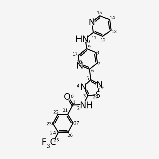 O=C(Nc1nc(-c2ccc(Nc3ccccn3)cn2)ns1)c1ccc(C(F)(F)F)cc1